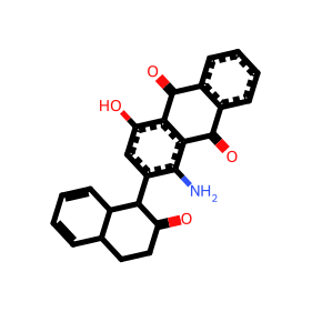 Nc1c(C2C(=O)CCC3C=CC=CC32)cc(O)c2c1C(=O)c1ccccc1C2=O